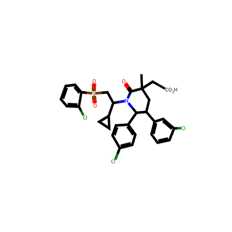 CC1(CC(=O)O)CC(c2cccc(Cl)c2)C(c2ccc(Cl)cc2)N(C(CS(=O)(=O)c2ccccc2Cl)C2CC2)C1=O